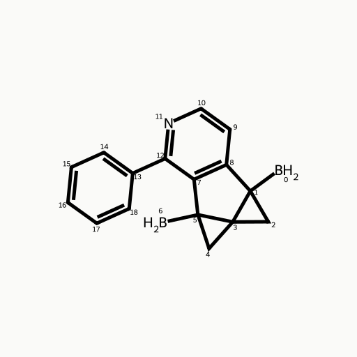 BC12CC13CC3(B)c1c2ccnc1-c1ccccc1